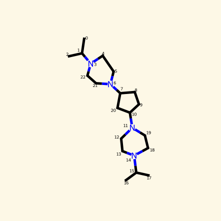 CC(C)N1CCN(C2CCC(N3CCN(C(C)C)CC3)C2)CC1